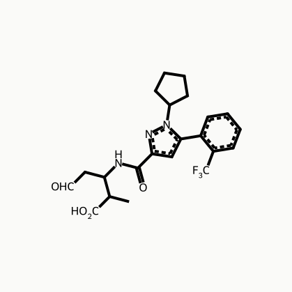 CC(C(=O)O)C(CC=O)NC(=O)c1cc(-c2ccccc2C(F)(F)F)n(C2CCCC2)n1